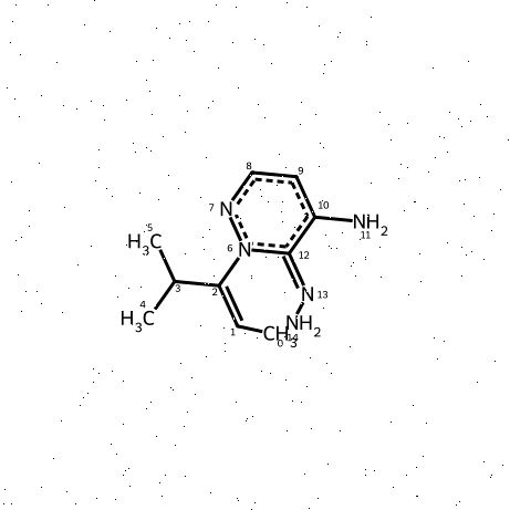 C/C=C(/C(C)C)n1nccc(N)/c1=N/N